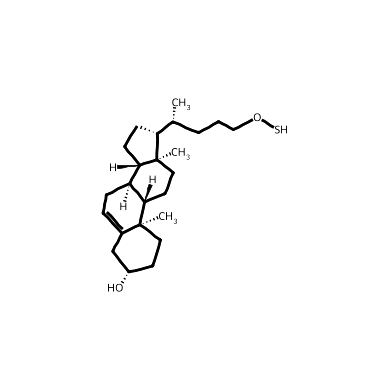 C[C@H](CCCOS)[C@H]1CC[C@H]2[C@@H]3CC=C4C[C@@H](O)CC[C@]4(C)[C@H]3CC[C@]12C